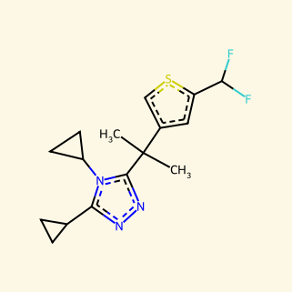 CC(C)(c1csc(C(F)F)c1)c1nnc(C2CC2)n1C1CC1